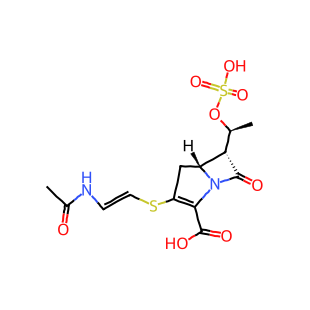 CC(=O)NC=CSC1=C(C(=O)O)N2C(=O)[C@@H]([C@H](C)OS(=O)(=O)O)[C@H]2C1